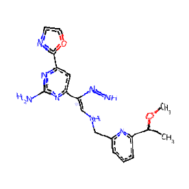 COC(C)c1cccc(CN/C=C(\N=N)c2cc(-c3ncco3)nc(N)n2)n1